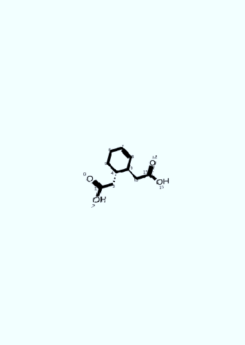 O=C(O)C[C@@H]1CCC=C[C@H]1CC(=O)O